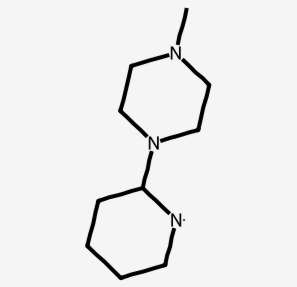 CN1CCN(C2CCCC[N]2)CC1